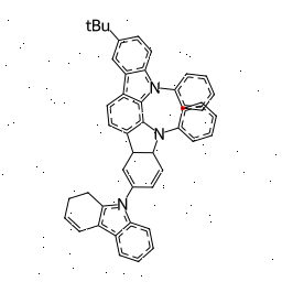 CC(C)(C)c1ccc2c(c1)c1ccc3c(c1n2-c1ccccc1)N(c1ccccc1)C1C=CC(n2c4c(c5ccccc52)C=CCC4)=CC31